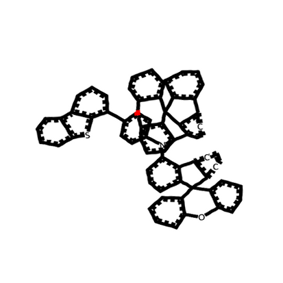 c1ccc2c(c1)Oc1ccccc1C21c2ccccc2-c2c(N(c3ccc(-c4cccc5c4sc4ccccc45)cc3)c3cccc4c3C3(c5ccccc5Sc5ccccc53)c3ccccc3-4)cccc21